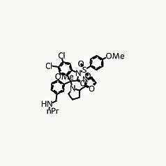 CCCNCc1ccc(OC)c(C2(N3CCCC3c3ncco3)C(=O)N(S(=O)(=O)c3ccc(OC)cc3)c3cc(Cl)c(Cl)cc32)c1